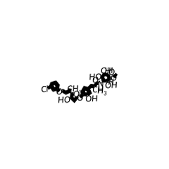 C/C(=C\c1ccc(O[C@H]2C[C@H](O)[C@@H](/C(C)=C/COc3cccc(Cl)c3)O2)c(O)c1)C(=O)N[C@@H]1[C@H](O)[C@@H](O)[C@H]2OCO[C@H]2[C@@H]1O